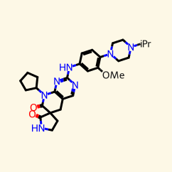 COc1cc(Nc2ncc3c(n2)N(C2CCCC2)C(=O)C2(CCNC2=O)C3)ccc1N1CCN(C(C)C)CC1